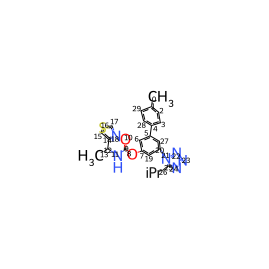 Cc1ccc(-c2cc(OC(=O)NC(C)c3cscn3)cc(-n3nnnc3C(C)C)c2)cc1